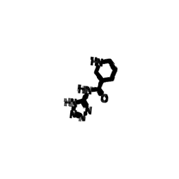 O=C(Nc1nnn[nH]1)C1CCCNC1